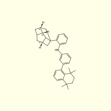 CC1(C)CCC(C)(C)c2c(-c3cccc(Nc4ccccc4C45C[C@@H]6CC7C[C@H](C4)[C@@H]7C65)c3)cccc21